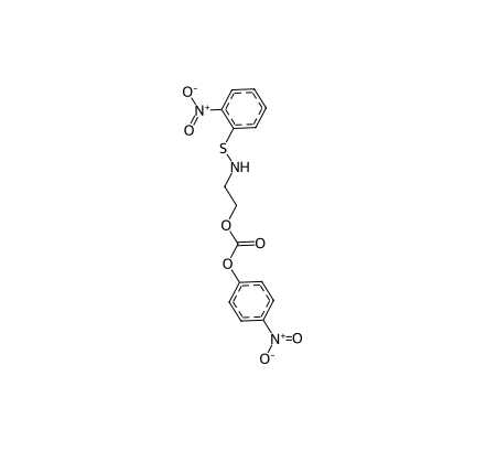 O=C(OCCNSc1ccccc1[N+](=O)[O-])Oc1ccc([N+](=O)[O-])cc1